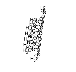 C=CC(=O)OCCOCC(COCC(COCC(COCC(COCC(COCC(COCCOC(=O)C=C)OCCOC(O)C=C)OCCOC(O)C=C)OCCOC(O)C=C)OCCOC(O)C=C)OCCOC(O)C=C)OCCOC(O)C=C